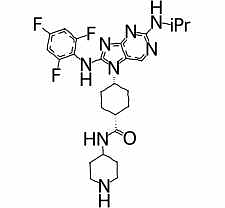 CC(C)Nc1ncc2c(n1)nc(Nc1c(F)cc(F)cc1F)n2[C@H]1CC[C@@H](C(=O)NC2CCNCC2)CC1